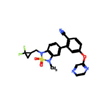 CN1c2cc(-c3cc(Oc4cnccn4)ccc3C#N)ccc2N(CC2CC2(F)F)S1(=O)=O